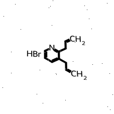 Br.C=CCc1cccnc1CC=C